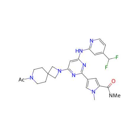 CNC(=O)c1cc(-c2nc(Nc3cc(C(F)F)ccn3)cc(N3CC4(CCN(C(C)=O)CC4)C3)n2)cn1C